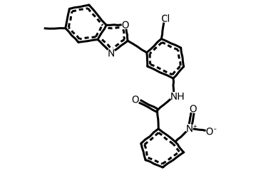 Cc1ccc2oc(-c3cc(NC(=O)c4ccccc4[N+](=O)[O-])ccc3Cl)nc2c1